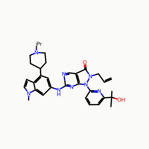 C=CCn1c(=O)c2cnc(Nc3cc(C4CCN(C(C)C)CC4)c4ccn(C)c4c3)nc2n1-c1cccc(C(C)(C)O)n1